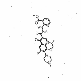 COC(=O)c1cccnc1NNC(=O)c1cn2c3c(c(N4CCN(C)CC4)c(F)cc3c1=O)OC[C@@H]2C